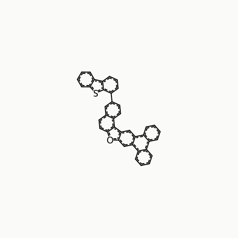 c1ccc2c(c1)sc1c(-c3ccc4c(ccc5oc6cc7c8ccccc8c8ccccc8c7cc6c54)c3)cccc12